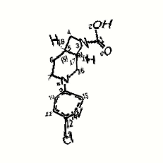 O=C(O)N1C[C@@H]2CCN(c3ccc(Cl)nc3)C[C@@H]21